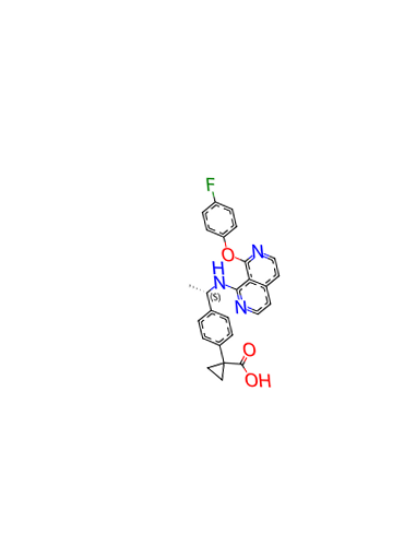 C[C@H](Nc1nccc2ccnc(Oc3ccc(F)cc3)c12)c1ccc(C2(C(=O)O)CC2)cc1